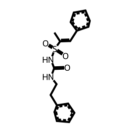 C/C(=C\c1ccccc1)S(=O)(=O)NC(=O)NCCc1ccccc1